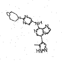 Cc1[nH]ncc1-c1cnc(Nc2cnc(N3CCOCC3)nc2)c2nccn12